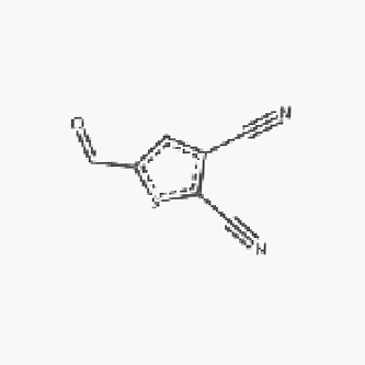 N#Cc1cc(C=O)sc1C#N